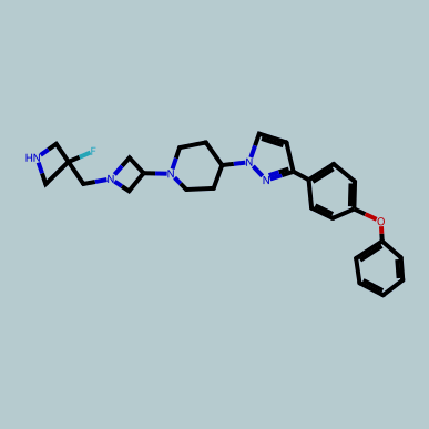 FC1(CN2CC(N3CCC(n4ccc(-c5ccc(Oc6ccccc6)cc5)n4)CC3)C2)CNC1